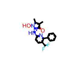 Cc1c(C)n(O)n(Nc2ccc(C(F)F)c(-c3ccccc3)n2)c1=O